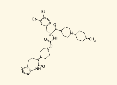 CCc1ccc(C[C@@H](NC(=O)ON2CCC(N3CCc4sccc4NC3=O)CC2)C(=O)N2CCN(C3CCN(C)CC3)CC2)cc1CC